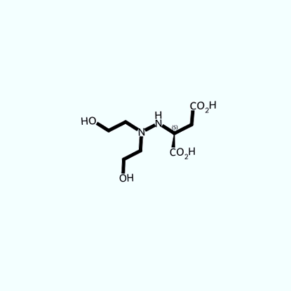 O=C(O)C[C@H](NN(CCO)CCO)C(=O)O